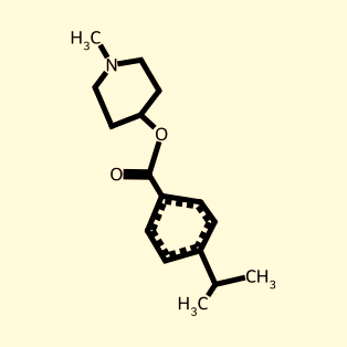 CC(C)c1ccc(C(=O)OC2CCN(C)CC2)cc1